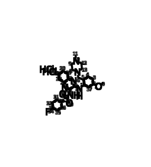 COc1ccc(CN2CCN(C)CC2)c(Nc2nc3ccccc3nc2NS(=O)(=O)c2ccc(F)cc2)c1.Cl.Cl